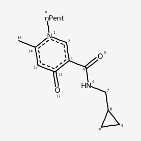 CCCCCn1cc(C(=O)NCC2CC2)c(=O)cc1C